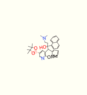 COc1ncc(B2OC(C)(C)C(C)(C)O2)cc1C(c1ccccc1)C(O)(CCN(C)C)c1cccc2ccccc12